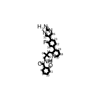 CC(C)(CNC(=O)c1ccccc1O)Cc1ncccc1-c1ccc(-c2cnc(N)nc2)c(F)c1